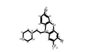 FC(F)(F)c1cc2c(cc1Br)Sc1cc(Br)ccc1N2CCN1CCOCC1